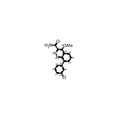 COc1c(C(N)=O)nnc2c(-c3cccc(Cl)c3)cccc12